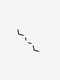 OCSOSCO